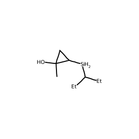 CCC(CC)[SiH2]C1CC1(C)O